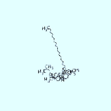 CCCCCCCCCCCCCCCCCCOC1C[C@H](O)CC2=CC[C@H]3[C@@H]4CC[C@H]([C@H](C)CCCC(C)C)[C@@]4(C)CC[C@@H]3[C@]21C